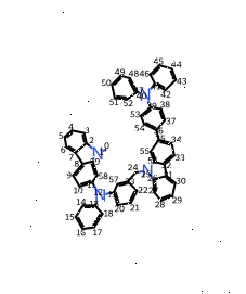 Cn1c2ccccc2c2ccc(N(c3ccccc3)c3cccc(Cn4c5ccccc5c5ccc(-c6ccc(N(c7ccccc7)c7ccccc7)cc6)cc54)c3)cc21